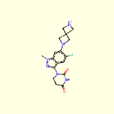 Cn1nc(N2CCC(=O)NC2=O)c2cc(F)c(N3CC4(CNC4)C3)cc21